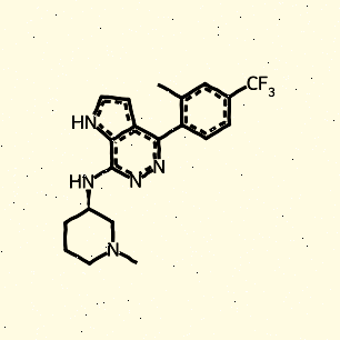 Cc1cc(C(F)(F)F)ccc1-c1nnc(N[C@@H]2CCCN(C)C2)c2[nH]ccc12